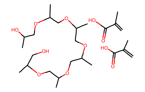 C=C(C)C(=O)O.C=C(C)C(=O)O.CC(O)COC(C)COC(C)COC(C)COC(C)COC(C)CO